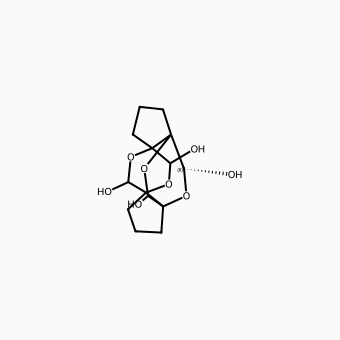 OC1OC23CCCC24OC(O)C2(CCCC12OC3O)O[C@H]4O